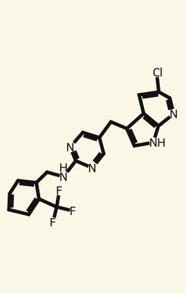 FC(F)(F)c1ccccc1CNc1ncc(Cc2c[nH]c3ncc(Cl)cc23)cn1